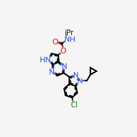 CC(C)NC(=O)Oc1c[nH]c2ncc(-c3nn(CC4CC4)c4cc(Cl)ccc34)nc12